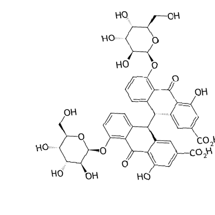 O=C(O)c1cc(O)c2c(c1)[C@H]([C@H]1c3cc(C(=O)O)cc(O)c3C(=O)c3c(O[C@@H]4O[C@H](CO)[C@@H](O)[C@@H](O)[C@@H]4O)cccc31)c1cccc(O[C@@H]3O[C@H](CO)[C@@H](O)[C@@H](O)[C@@H]3O)c1C2=O